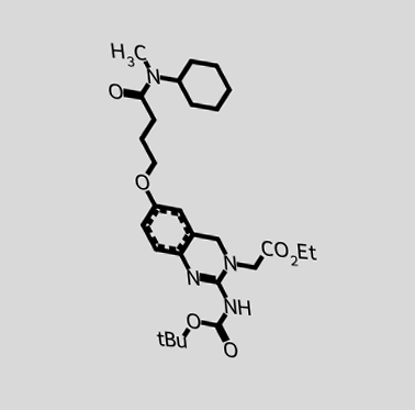 CCOC(=O)CN1Cc2cc(OCCCC(=O)N(C)C3CCCCC3)ccc2N=C1NC(=O)OC(C)(C)C